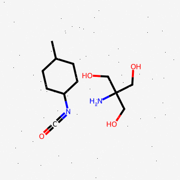 CC1CCC(N=C=O)CC1.NC(CO)(CO)CO